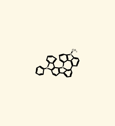 Cn1c2cccc3c4cccc5c6ccc7c(c8ccccc8n7-c7ccccc7)c6n(c6cccc1c6c32)c45